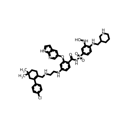 CC1(C)CCC(CNCCNc2ccc(C(=O)NS(=O)(=O)c3ccc(NCC4CCCNC4)c(NO)c3)c(Oc3cnc4[nH]ccc4c3)c2)=C(c2ccc(Cl)cc2)C1